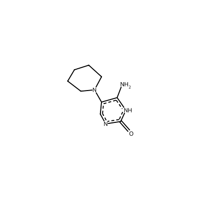 Nc1[nH]c(=O)ncc1N1CCCCC1